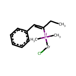 CCC(=Cc1ccccc1)[PH](C)(C)[Zr][Cl]